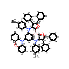 CC(C)(C)c1ccc(N2c3cc(N4C5=CC=CCC5Oc5ccccc54)cc4c3B(c3oc(C5=C=C=CC=C5)c(-c5ccccc5)c32)c2oc(-c3ccccc3)c(-c3ccccc3)c2N4c2ccc(C(C)(C)C)cc2)cc1